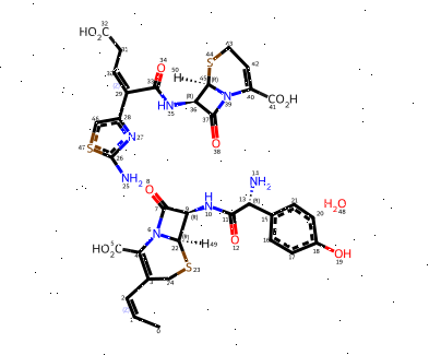 C/C=C\C1=C(C(=O)O)N2C(=O)[C@@H](NC(=O)[C@H](N)c3ccc(O)cc3)[C@H]2SC1.Nc1nc(/C(=C/CC(=O)O)C(=O)N[C@@H]2C(=O)N3C(C(=O)O)=CCS[C@H]23)cs1.O